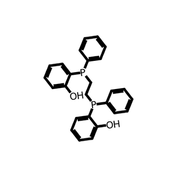 Oc1ccccc1P(CCP(c1ccccc1)c1ccccc1O)c1ccccc1